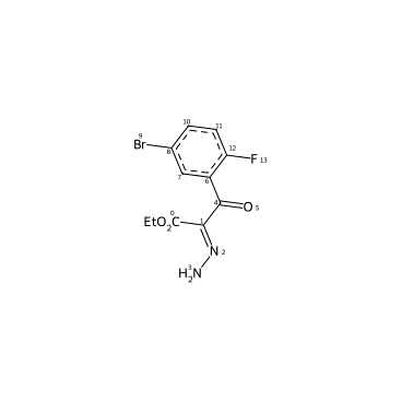 CCOC(=O)/C(=N\N)C(=O)c1cc(Br)ccc1F